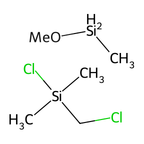 CO[SiH2]C.C[Si](C)(Cl)CCl